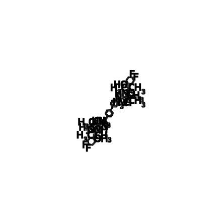 CC(C)(C)C(NC(=O)C(C)(C)C1(O)CCC(F)(F)CC1)c1nc2ccc(-c3ccc(-c4cnc([C@@H](NC(=O)C(C)(C)C5(O)CCC(F)(F)CC5)C(C)(C)C)[nH]4)cc3)cc2[nH]1